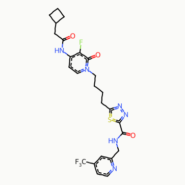 O=C(CC1CCC1)Nc1ccn(CCCCc2nnc(C(=O)NCc3cc(C(F)(F)F)ccn3)s2)c(=O)c1F